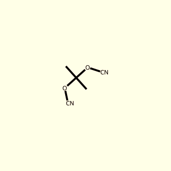 CC(C)(OC#N)OC#N